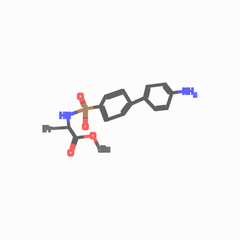 CC(C)C(NS(=O)(=O)c1ccc(-c2ccc(N)cc2)cc1)C(=O)OC(C)(C)C